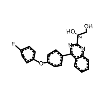 OC[C@@H](O)c1nc(-c2ccc(Oc3ccc(F)cc3)cc2)c2ccccc2n1